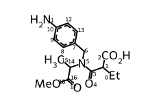 CCC(C(=O)O)C(=O)N(Cc1ccc(N)cc1)C(C)C(=O)OC